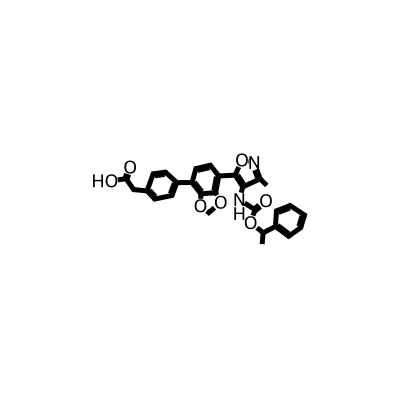 Cc1noc(-c2ccc(-c3ccc(CC(=O)O)cc3)c3c2OCO3)c1NC(=O)OC(C)c1ccccc1